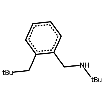 CC(C)(C)Cc1ccccc1CNC(C)(C)C